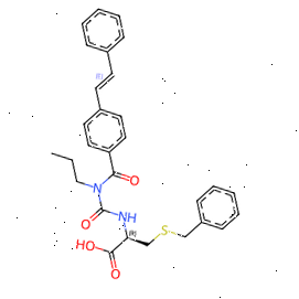 CCCN(C(=O)N[C@@H](CSCc1ccccc1)C(=O)O)C(=O)c1ccc(/C=C/c2ccccc2)cc1